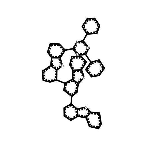 c1ccc(-c2nc(-c3ccccc3)nc(-c3cccc4c3oc3c(-c5cc(-c6cccc7c6sc6ccccc67)cc6oc7ccccc7c56)cccc34)n2)cc1